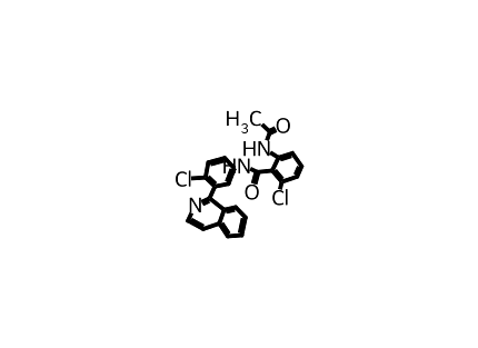 CC(=O)Nc1cccc(Cl)c1C(=O)Nc1ccc(Cl)c(-c2nccc3ccccc23)c1